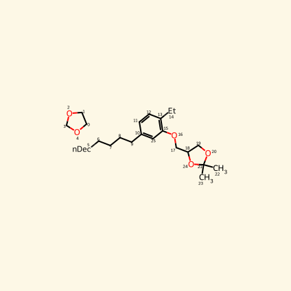 C1COCO1.CCCCCCCCCCCCCCc1ccc(CC)c(OCC2COC(C)(C)O2)c1